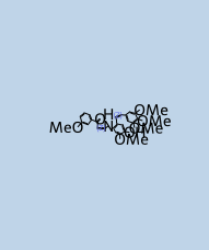 COc1cccc(C(=O)/C=C\Nc2cc(OC)c(O)cc2/C=C\c2cc(OC)c(OC)c(OC)c2)c1